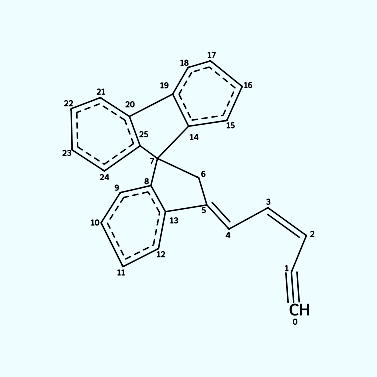 C#C/C=C\C=C1/CC2(c3ccccc31)c1ccccc1-c1ccccc12